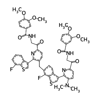 COc1ccc(C(=O)NCC(=O)c2ccc(Cc3ccc4c(-c5nc(C(=O)CNC(=O)c6ccc(OC)c(OC)c6)ccc5N(C)C)csc4c3F)c(-c3csc4c(F)cccc34)n2)cc1OC